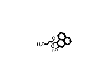 C=CCS(=O)(=O)C1C(O)=Cc2cccc3cccc1c23